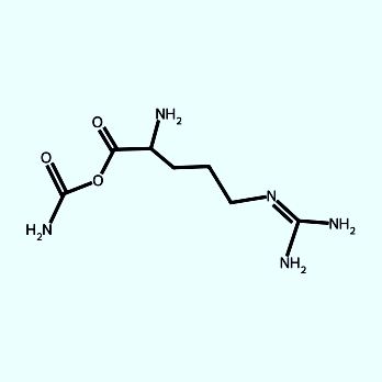 NC(=O)OC(=O)C(N)CCCN=C(N)N